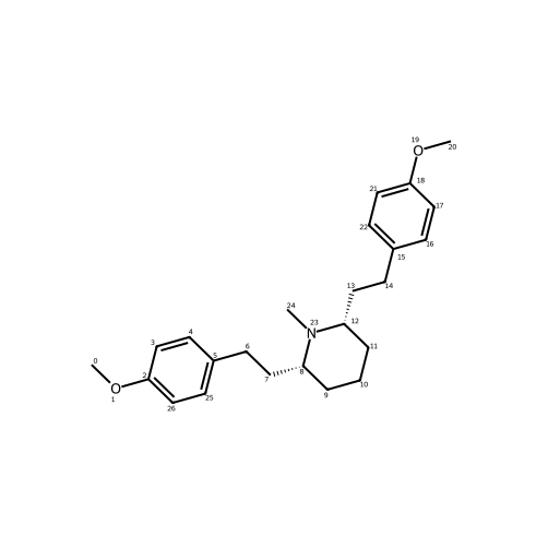 COc1ccc(CC[C@H]2CCC[C@@H](CCc3ccc(OC)cc3)N2C)cc1